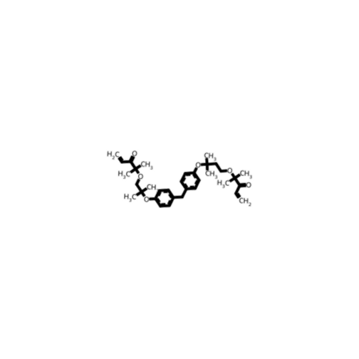 C=CC(=O)C(C)(C)OCCC(C)(C)Oc1ccc(Cc2ccc(OC(C)(C)COC(C)(C)C(=O)C=C)cc2)cc1